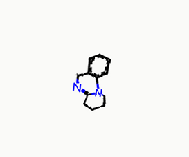 c1ccc2c(c1)CN=C1CCCCN12